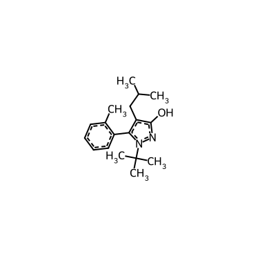 Cc1ccccc1-c1c(CC(C)C)c(O)nn1C(C)(C)C